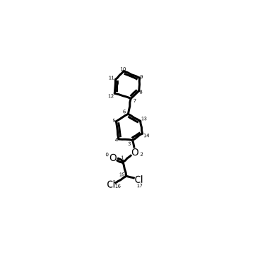 O=C(Oc1ccc(-c2ccccc2)cc1)C(Cl)Cl